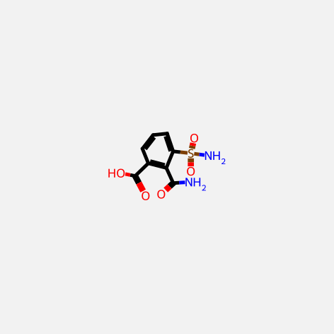 NC(=O)c1c(C(=O)O)cccc1S(N)(=O)=O